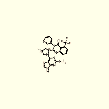 Nc1nc(N2C[C@@H](F)C[C@H]2c2nc3cccc(C(F)(F)F)c3c(=O)n2-c2cccnc2)c2nc[nH]c2n1